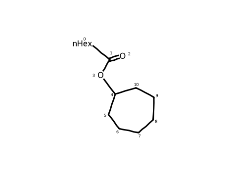 [CH2]CCCCCC(=O)OC1CCCCCC1